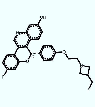 Oc1ccc2c3c(cnc2c1)-c1ccc(F)cc1O[C@H]3c1ccc(OCCN2CC(CF)C2)cc1